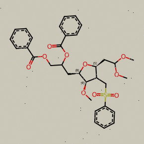 COC(C[C@@H]1O[C@H](CC(COC(=O)c2ccccc2)OC(=O)c2ccccc2)[C@H](OC)C1CS(=O)(=O)c1ccccc1)OC